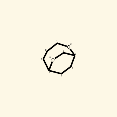 C1COC2CCC(C1)OC2